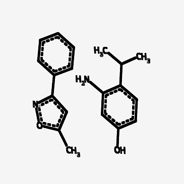 CC(C)c1ccc(O)cc1N.Cc1cc(-c2ccccc2)no1